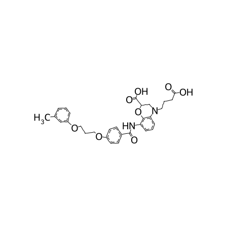 Cc1cccc(OCCCOc2ccc(C(=O)Nc3cccc4c3OC(C(=O)O)CN4CCCC(=O)O)cc2)c1